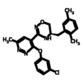 Cc1ccc(C)c(C[C@@H]2CON=C(c3cc(C)nnc3Oc3cccc(Cl)c3)N2)c1